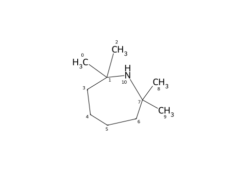 CC1(C)CCCCC(C)(C)N1